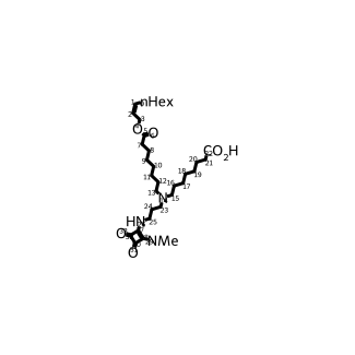 CCCCCC/C=C\COC(=O)CCCCCCCN(CCCCCCCC(=O)O)CCCNc1c(NC)c(=O)c1=O